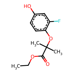 CCOC(=O)C(C)(C)Oc1ccc(O)cc1F